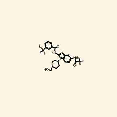 CC(C)(C)C(=O)Nc1ccc2c(c1)nc(NC(=O)c1cccc(C(F)(F)F)c1)n2C1CCC(CO)CC1